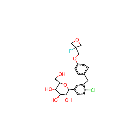 OC[C@H]1O[C@@H](c2ccc(Cl)c(Cc3ccc(OCC4(F)COC4)cc3)c2)[C@H](O)[C@@H](O)[C@@H]1O